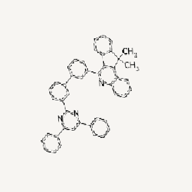 CC1(C)c2ccccc2-c2c(-c3cccc(-c4cccc(-c5nc(-c6ccccc6)cc(-c6ccccc6)n5)c4)c3)nc3ccccc3c21